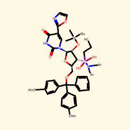 COc1ccc(C(OC[C@H]2O[C@@H](n3cc(-c4ncco4)c(=O)[nH]c3=O)[C@@H](O[Si](C)(C)C(C)(C)C)[C@@H]2P(O)(O)(CCC#N)N(C(C)C)C(C)C)(c2ccccc2)c2ccc(OC)cc2)cc1